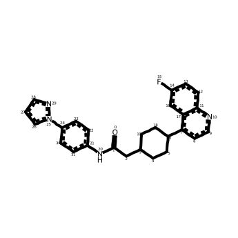 O=C(CC1CCC(c2ccnc3ccc(F)cc23)CC1)Nc1ccc(-n2cccn2)cc1